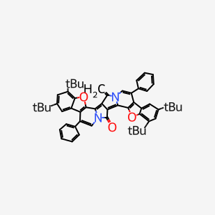 C=c1c2c(c3c4oc5c(C(C)(C)C)cc(C(C)(C)C)cc5c4c(-c4ccccc4)cn13)C(=O)N1C=C(c3ccccc3)c3c(oc4c(C(C)(C)C)cc(C(C)(C)C)cc34)C=21